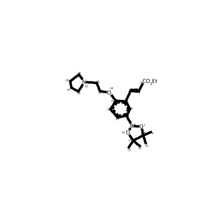 CCOC(=O)/C=C/c1cc(B2OC(C)(C)C(C)(C)O2)ccc1OCCN1CCCC1